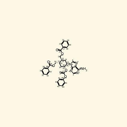 Nc1ncnc2c1ncn2[C@@H]1C[C@H](COC(=O)c2ccccc2)[C@@H](COC(=O)c2ccccc2)C[C@H]1OC(=S)Oc1ccccc1